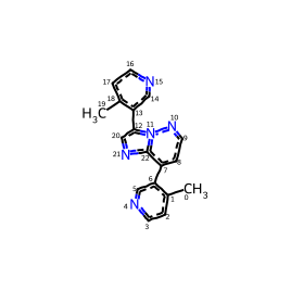 Cc1ccncc1-c1ccnn2c(-c3cnccc3C)cnc12